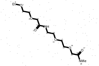 CCOCCOCC(=O)NCCOCCOCC(=O)NC